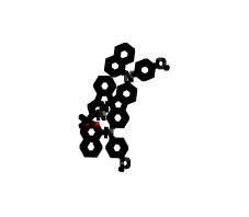 COc1ccc(N(c2ccc3c(c2)C2(c4cc(N(c5ccc(OC)cc5)c5cccc6ccccc56)ccc4-3)c3ccccc3-c3cc(C(C)(C)C)nn32)c2cccc3ccccc23)cc1